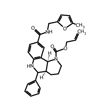 C=CCOC(=O)N1CCC[C@H]2C(c3ccccc3)Nc3ccc(C(=O)NCc4ccc(C)o4)cc3[C@H]21